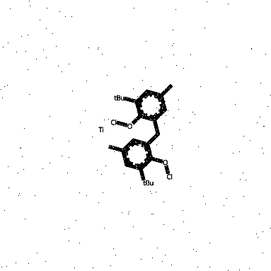 Cc1cc(Cc2cc(C)cc(C(C)(C)C)c2OCl)c(OCl)c(C(C)(C)C)c1.[Ti]